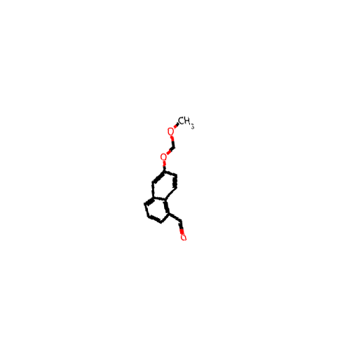 COCOc1ccc2c(C=O)cccc2c1